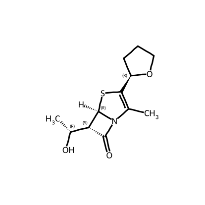 CC1=C([C@H]2CCCO2)S[C@@H]2[C@@H]([C@@H](C)O)C(=O)N12